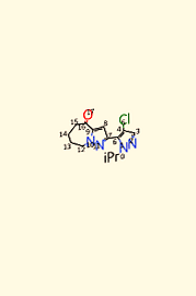 CC(C)n1ncc(Cl)c1-c1cc2n(n1)CCCCC2=O